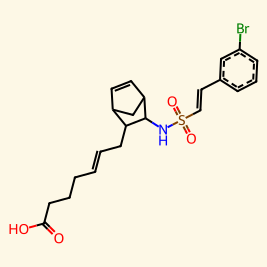 O=C(O)CCCC=CCC1C2C=CC(C2)C1NS(=O)(=O)C=Cc1cccc(Br)c1